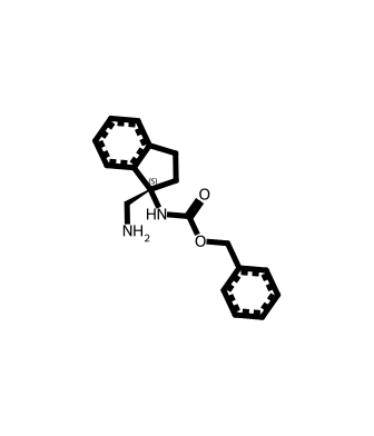 NC[C@]1(NC(=O)OCc2ccccc2)CCc2ccccc21